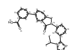 CC(C)n1cnnc1-c1cccc(N2Cc3ccc(-c4cccc(C(=O)O)c4)cc3C2=O)n1